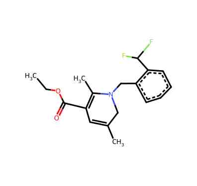 CCOC(=O)C1=C(C)N(Cc2ccccc2C(F)F)CC(C)=C1